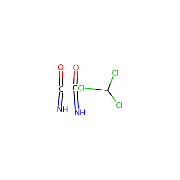 ClC(Cl)Cl.N=C=O.N=C=O